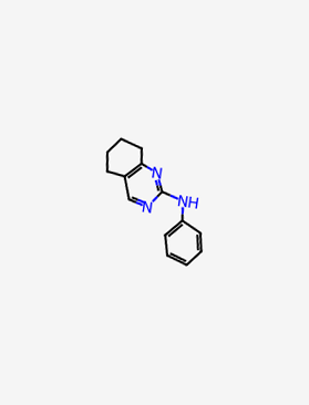 c1ccc(Nc2ncc3c(n2)CCCC3)cc1